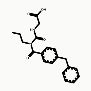 CCCN(C(=O)NCC(=O)O)C(=O)c1ccc(Cc2ccccc2)cc1